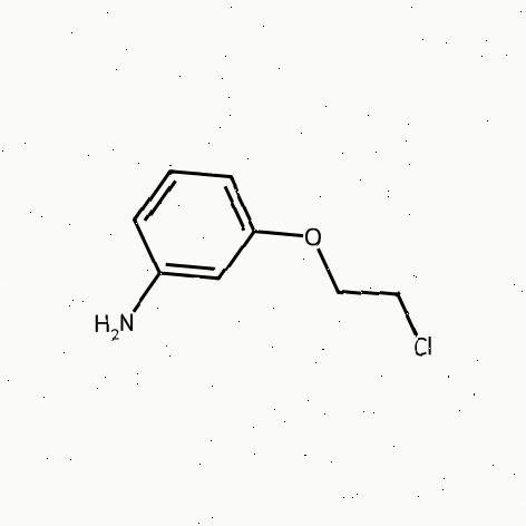 Nc1cccc(OCCCl)c1